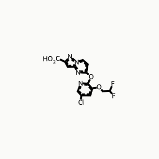 O=C(O)c1cc2nc(Oc3ncc(Cl)cc3OCC(F)F)ccn2n1